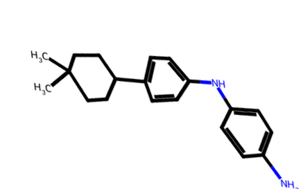 CC1(C)CCC(c2ccc(Nc3ccc(N)cc3)cc2)CC1